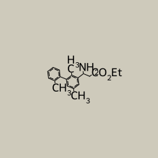 CCOC(=O)CC(N)c1cc(C)cc(-c2ccccc2C)c1C